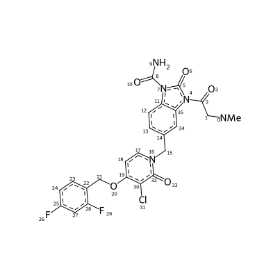 CNCC(=O)n1c(=O)n(C(N)=O)c2ccc(Cn3ccc(OCc4ccc(F)cc4F)c(Cl)c3=O)cc21